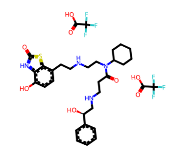 O=C(CCNC[C@H](O)c1ccccc1)N(CCNCCc1ccc(O)c2[nH]c(=O)sc12)C1CCCCC1.O=C(O)C(F)(F)F.O=C(O)C(F)(F)F